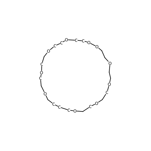 C1CCOCCOCCOCCOCCOOCCOCCOCCOCCOC1